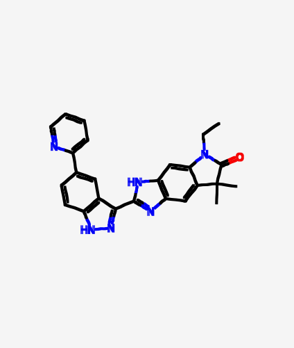 CCN1C(=O)C(C)(C)c2cc3nc(-c4n[nH]c5ccc(-c6ccccn6)cc45)[nH]c3cc21